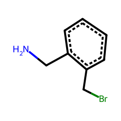 NCc1ccccc1CBr